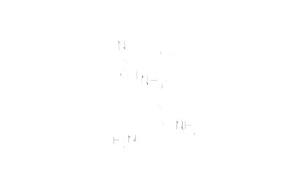 Cc1ncc(CO)c(CNC(=O)C=Cc2cc(N)ccc2N)c1O